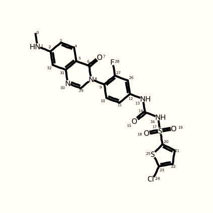 CNc1ccc2c(=O)n(-c3ccc(NC(=O)NS(=O)(=O)c4ccc(Cl)s4)cc3F)cnc2c1